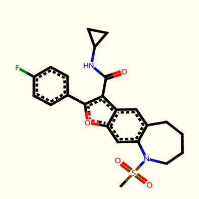 CS(=O)(=O)N1CCCCc2cc3c(C(=O)NC4CC4)c(-c4ccc(F)cc4)oc3cc21